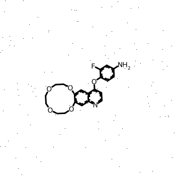 Nc1ccc(Oc2ccnc3cc4c(cc23)OCCOCCOCCO4)c(F)c1